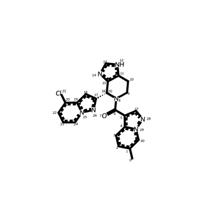 Cc1ccc2c(C(=O)N3CCc4[nH]cnc4[C@H]3c3cc4c(Cl)cccn4n3)cnn2c1